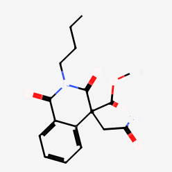 CCCCN1C(=O)c2ccccc2C(CC(N)=O)(C(=O)OC)C1=O